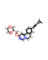 C(#CC1CC1)c1ccc2c(c1)CCN1C=NC(OC[C@H]3COCCO3)C=C21